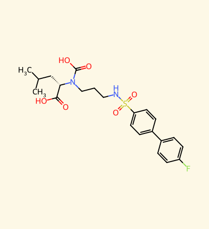 CC(C)C[C@@H](C(=O)O)N(CCCNS(=O)(=O)c1ccc(-c2ccc(F)cc2)cc1)C(=O)O